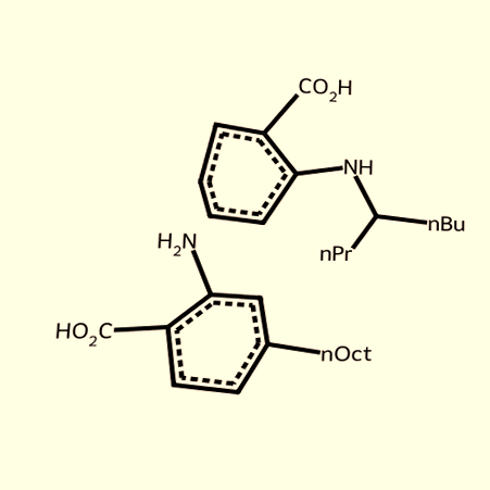 CCCCC(CCC)Nc1ccccc1C(=O)O.CCCCCCCCc1ccc(C(=O)O)c(N)c1